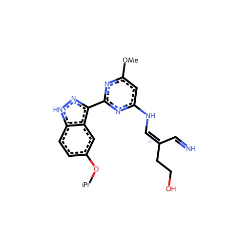 COc1cc(N/C=C(\C=N)CCO)nc(-c2n[nH]c3ccc(OC(C)C)cc23)n1